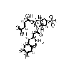 CS(=O)(=O)N1C[C@@H]2CCN(C(=O)C[C@H](N)Cc3cc(F)c(F)cc3F)[C@@H]2C1.O=C(O)C=CC(=O)O